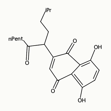 CCCCCC(=O)C(CCC(C)C)C1=CC(=O)c2c(O)ccc(O)c2C1=O